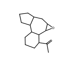 C=C(C)C1CCCC2C3CCCC3CC3OC3C12